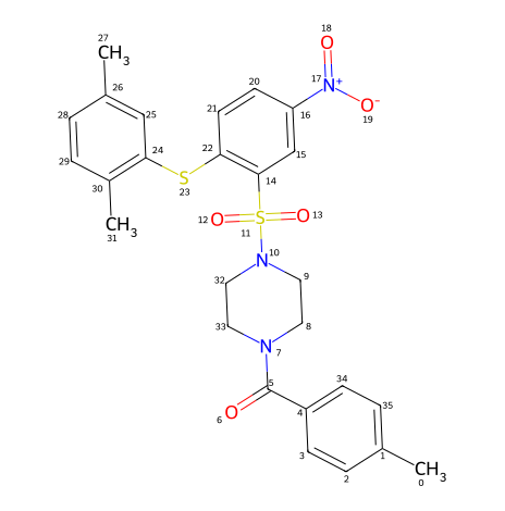 Cc1ccc(C(=O)N2CCN(S(=O)(=O)c3cc([N+](=O)[O-])ccc3Sc3cc(C)ccc3C)CC2)cc1